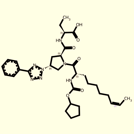 C/C=C\CCCCC[C@H](NC(=O)OC1CCCC1)C(=O)N1C[C@H](n2nnc(-c3ccccc3)n2)C[C@H]1C(=O)N[C@@H](CC)C(=O)O